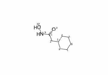 O=C(CC1CCCCC1)NO